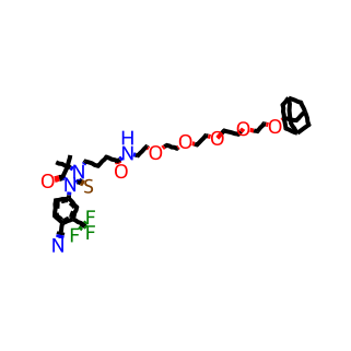 CC1(C)C(=O)N(c2ccc(C#N)c(C(F)(F)F)c2)C(=S)N1CCCC(=O)NCCOCCOCCOCCOCCOC12CC3CC(CC(C3)C1)C2